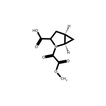 COC(=O)C(=O)N1C(C(=O)O)C[C@H]2C[C@H]21